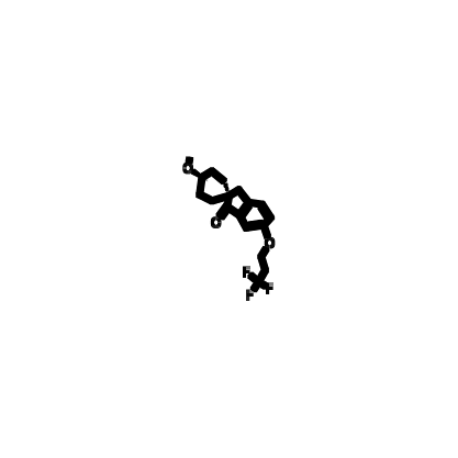 CO[C@H]1CC[C@]2(CC1)Cc1ccc(OCCC(F)(F)F)cc1C2=O